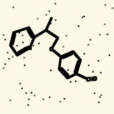 CC(COc1ccc(C=O)cc1)c1ccccn1